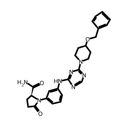 NC(=O)[C@@H]1CCC(=O)N1c1cccc(Nc2ncnc(N3CCC(OCc4ccccc4)CC3)n2)c1